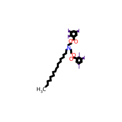 CCCCCCCCCCCCCCCCCCN(CCOC(=O)c1cc(I)cc(I)c1I)CCOC(=O)c1cc(I)cc(I)c1I